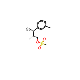 CC[C@@H](c1cccc(C)c1)[C@@H](C)COS(C)(=O)=O